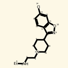 CCNCCN1CCC(c2noc3cc(Cl)ccc23)CC1